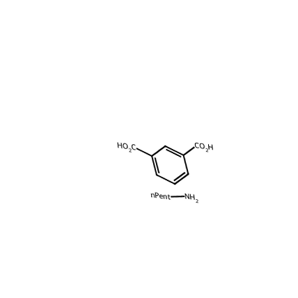 CCCCCN.O=C(O)c1cccc(C(=O)O)c1